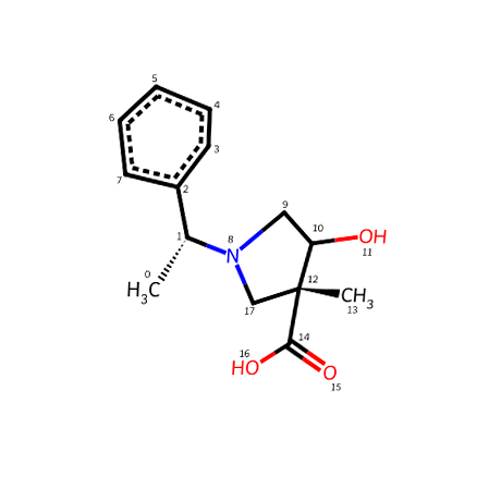 C[C@H](c1ccccc1)N1CC(O)[C@](C)(C(=O)O)C1